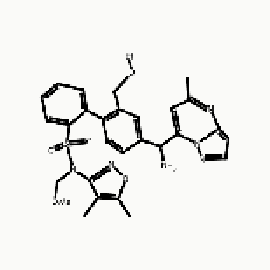 CCOCc1cc(C(N)c2cc(C)nc3ccnn23)ccc1-c1ccccc1S(=O)(=O)N(COC)c1noc(C)c1C